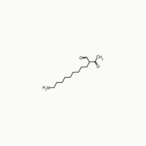 CC(=O)C([C]=O)CCCCCCCCCN